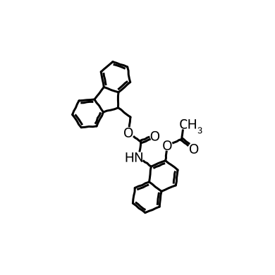 CC(=O)Oc1ccc2ccccc2c1NC(=O)OCC1c2ccccc2-c2ccccc21